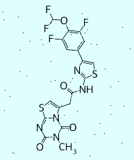 Cn1c(=O)nc2scc(CC(=O)Nc3nc(-c4cc(F)c(OC(F)F)c(F)c4)cs3)n2c1=O